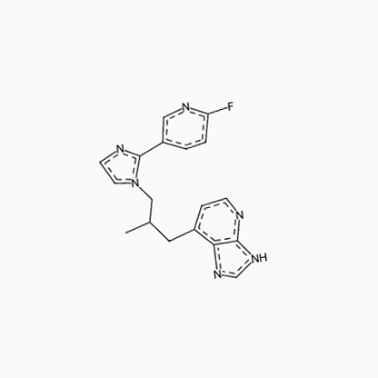 CC(Cc1ccnc2[nH]cnc12)Cn1ccnc1-c1ccc(F)nc1